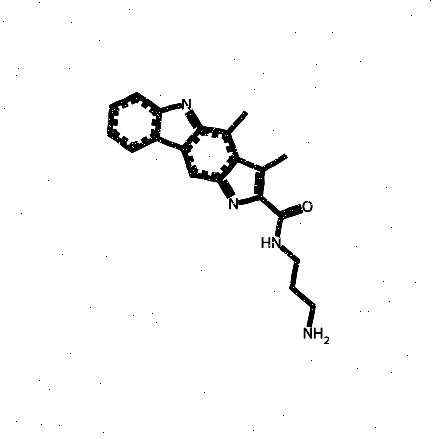 CC1=C(C(=O)NCCCN)N=c2cc3c(c(C)c21)=Nc1ccccc1-3